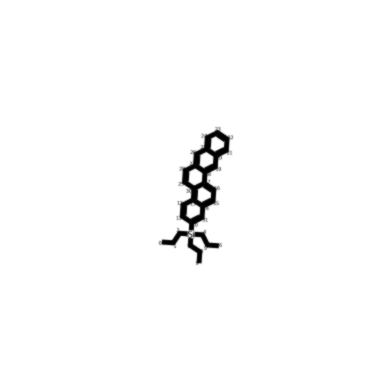 CCC[Si](CCC)(CCC)c1ccc2c(ccc3c4cc5ccccc5cc4ccc23)c1